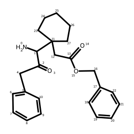 NC(C(=O)Cc1ccccc1)C1(CC(=O)OCc2ccccc2)CCCCC1